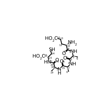 C[C@H](NC(=O)[C@H](C)NC(=O)[C@@H](N)CCC(=O)O)C(=O)N[C@@H](C)C(=O)N[C@@H](CS)C(=O)O